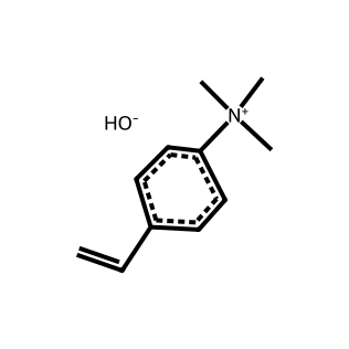 C=Cc1ccc([N+](C)(C)C)cc1.[OH-]